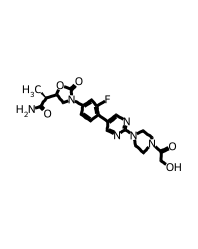 C[C@H](C(N)=O)C1CN(c2ccc(-c3cnc(N4CCN(C(=O)CO)CC4)nc3)c(F)c2)C(=O)O1